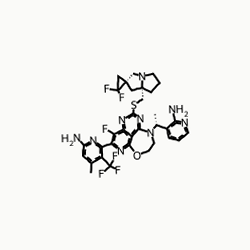 Cc1cc(N)nc(-c2nc3c4c(nc(SC[C@@]56CCCN5C[C@]5(CC5(F)F)C6)nc4c2F)N([C@H](C)c2cccnc2N)CCO3)c1C(F)(F)F